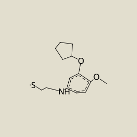 COc1ccc(NCC[S])cc1OC1CCCC1